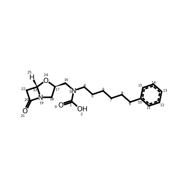 O=C(O)N(CCCCCCc1ccccc1)C[C@H]1CN2C(=O)C[C@@H]2O1